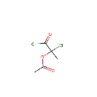 CC(=O)OC(C)(Cl)C(=O)Cl